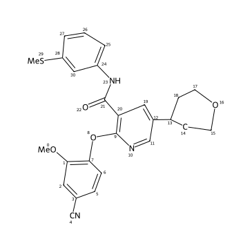 COc1cc(C#N)ccc1Oc1ncc(C2CCOCC2)cc1C(=O)Nc1cccc(SC)c1